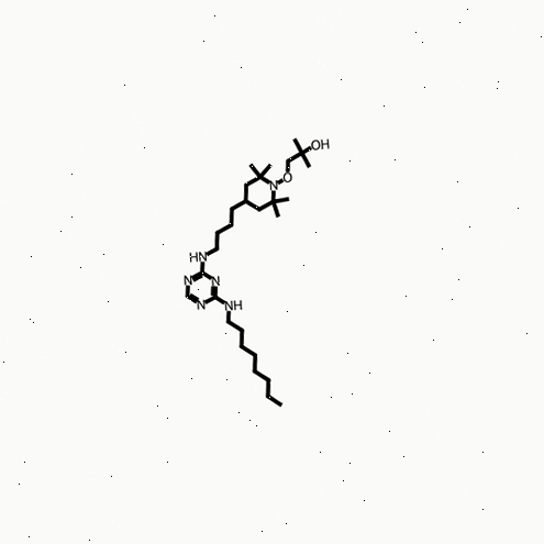 CCCCCCCCNc1ncnc(NCCCCC2CC(C)(C)N(OCC(C)(C)O)C(C)(C)C2)n1